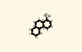 [Eu][c]1cccc2c1ccc1ccccc12